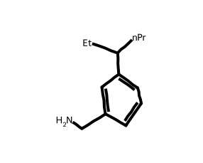 CCCC(CC)c1cccc(CN)c1